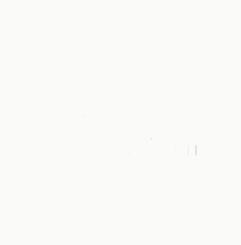 CCCCP(Cl)(CCCC)(CCCC)CC(=O)O